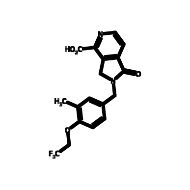 Cc1cc(CN2Cc3c(ccnc3C(=O)O)C2=O)ccc1OCC(F)(F)F